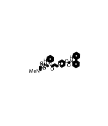 CNCCS(=O)(=O)NCN(C(=O)CCN1CCC(OC(=O)Nc2ccccc2-c2ccccc2)CC1)c1ccccc1